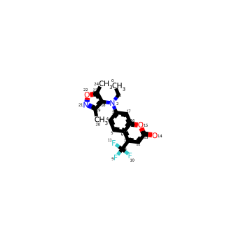 CCN(c1ccc2c(C(F)(F)F)cc(=O)oc2c1)c1c(C)noc1C